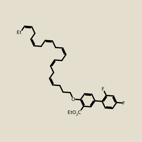 CC/C=C\C/C=C\C/C=C\C/C=C\C/C=C\C/C=C\CCCOc1ccc(-c2ccc(F)cc2F)cc1C(=O)OCC